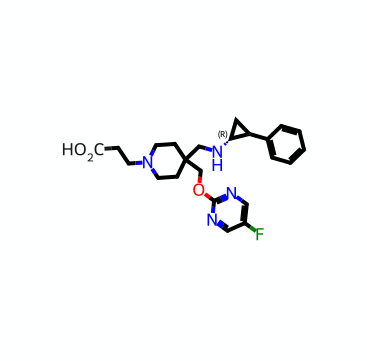 O=C(O)CCN1CCC(CN[C@@H]2CC2c2ccccc2)(COc2ncc(F)cn2)CC1